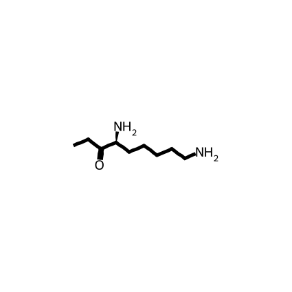 CCC(=O)[C@@H](N)CCCCCN